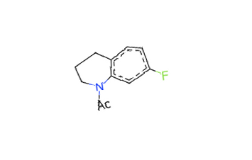 CC(=O)N1CCCc2ccc(F)cc21